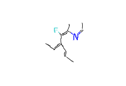 C\C=N/C(C)=C(F)\C(=C/C)\C=C\C